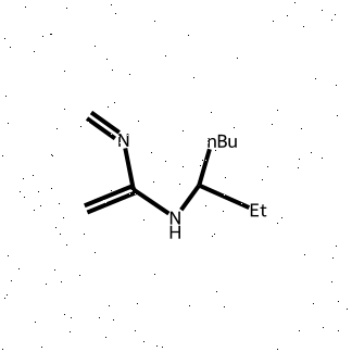 C=NC(=C)NC(CC)CCCC